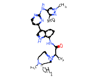 COc1nn(C)cc1Nc1nccc(-c2c[nH]c3c(NC(=O)C(C)N4CCN(C)[C@@H](C)C4)cccc23)n1